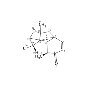 C[C@@H]1C(=O)C=CC23CC4[C@H](Cl)C(OC4(C)C2)C13